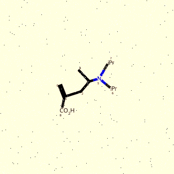 C=C(CC(C)N(C(C)C)C(C)C)C(=O)O